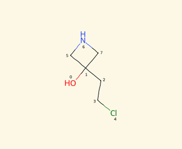 OC1(CCCl)CNC1